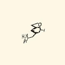 CC(C)C(N)Cc1cc(I)c2c(c1)CCO2